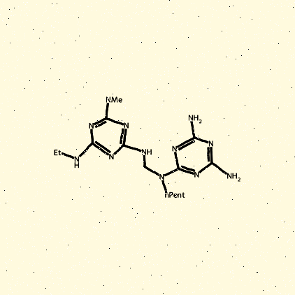 CCCCCN(CNc1nc(NC)nc(NCC)n1)c1nc(N)nc(N)n1